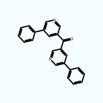 O=C(c1cncc(-c2ccccc2)c1)c1cncc(-c2ccccc2)c1